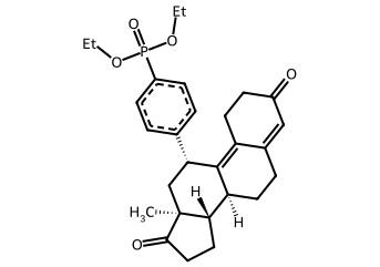 CCOP(=O)(OCC)c1ccc([C@H]2C[C@]3(C)C(=O)CC[C@H]3[C@@H]3CCC4=CC(=O)CCC4=C32)cc1